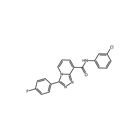 O=C(Nc1cccc(Cl)c1)c1cccn2c(-c3ccc(F)cc3)nnc12